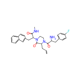 C=CCC1C(=O)N(C(Cc2ccc3ccccc3c2)C(=O)NC)CCN1C(=O)C(N)Cc1ccc(F)cc1